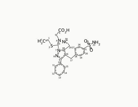 C=CS/C(=N\CC(=O)O)n1nc(-c2ccccc2)c(Cc2ccc(S(N)(=O)=O)cc2)c1CC#N